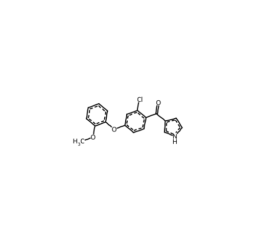 COc1ccccc1Oc1ccc(C(=O)c2cc[nH]c2)c(Cl)c1